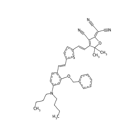 CCCCN(CCCC)c1ccc(C=Cc2ccc(C=CC3=C(C#N)C(=C(C#N)C#N)OC3(C)C)s2)c(OCc2ccccc2)c1